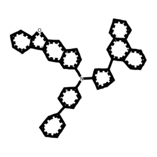 c1ccc(-c2ccc(N(c3cccc(-c4cc5ccccc5c5ccccc45)c3)c3ccc4cc5oc6ccccc6c5cc4c3)cc2)cc1